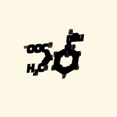 C=CC(=O)[O-].CCCC[n+]1ccccc1